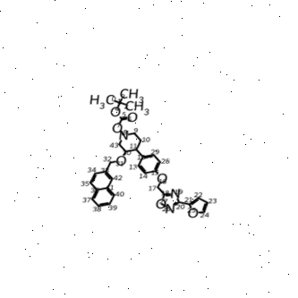 CC(C)(C)OC(=O)ON1CCC(c2ccc(OCc3nc(-c4ccco4)no3)cc2)C(OCc2ccc3ccccc3c2)C1